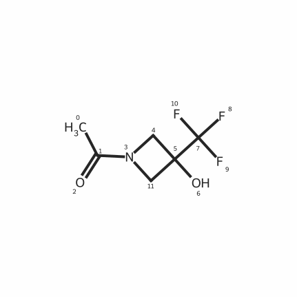 CC(=O)N1CC(O)(C(F)(F)F)C1